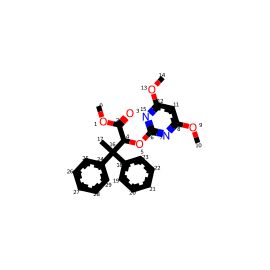 COC(=O)C(Oc1nc(OC)cc(OC)n1)C(C)(c1ccccc1)c1ccccc1